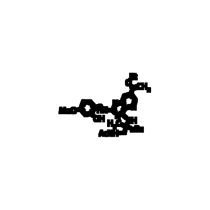 C=C(OCC)c1cnc2c(NC(C)(CCCC)CNC(C)=O)nc(NCc3ccc(OC)cc3O)nc2c1